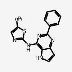 CCCc1cnc(Nc2nc(-c3ccccc3)nc3cc[nH]c23)s1